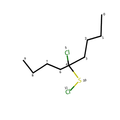 CCCCC(Cl)(CCCC)SCl